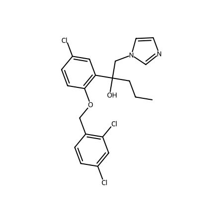 CCCC(O)(Cn1ccnc1)c1cc(Cl)ccc1OCc1ccc(Cl)cc1Cl